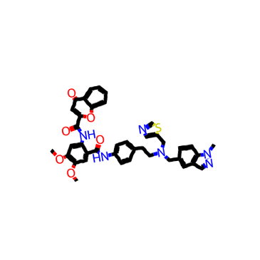 COc1cc(NC(=O)c2cc(=O)c3ccccc3o2)c(C(=O)Nc2ccc(CCN(Cc3ccc4c(cnn4C)c3)Cc3cncs3)cc2)cc1OC